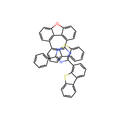 c1ccc(-c2nc(-c3cccc4c3sc3ccccc34)nc(-c3cccc4oc5cccc(-c6cccc7c6sc6ccccc67)c5c34)n2)cc1